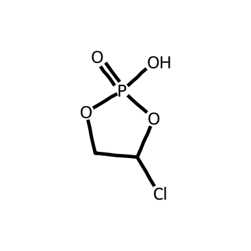 O=P1(O)OCC(Cl)O1